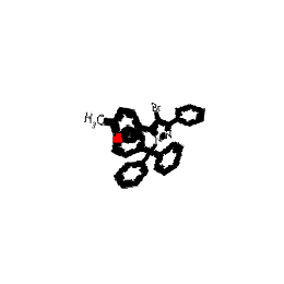 Cc1ccc(-c2c(Br)c(-c3ccccc3)nn2C(c2ccccc2)(c2ccccc2)c2ccccc2)cc1